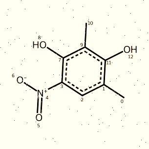 Cc1cc([N+](=O)[O-])c(O)c(C)c1O